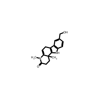 CN1C(=O)CCC2(C)C1=CCc1c2[nH]c2ccc(CO)cc12